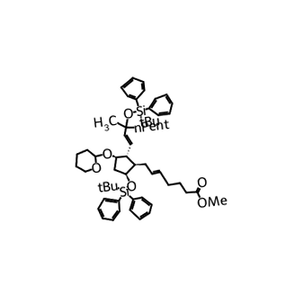 CCCCCC(C)(/C=C/[C@@H]1[C@@H](C/C=C/CCCC(=O)OC)[C@@H](O[Si](c2ccccc2)(c2ccccc2)C(C)(C)C)C[C@H]1OC1CCCCO1)O[Si](c1ccccc1)(c1ccccc1)C(C)(C)C